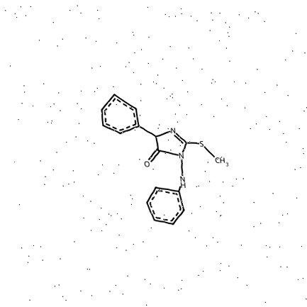 CSC1=NC(c2ccccc2)C(=O)N1Nc1ccccc1